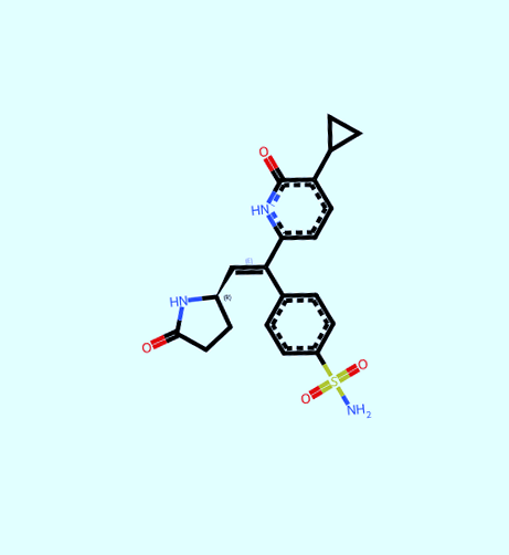 NS(=O)(=O)c1ccc(/C(=C\[C@H]2CCC(=O)N2)c2ccc(C3CC3)c(=O)[nH]2)cc1